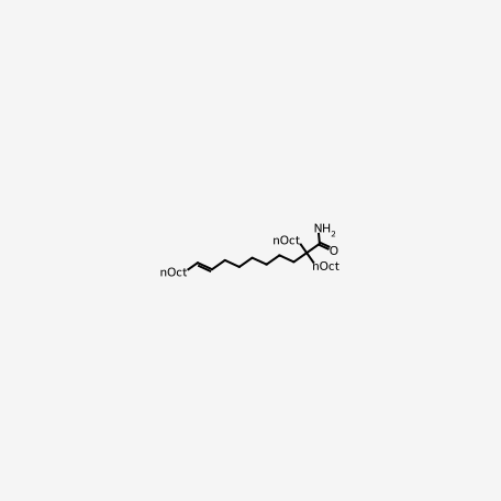 CCCCCCCCC=CCCCCCCC(CCCCCCCC)(CCCCCCCC)C(N)=O